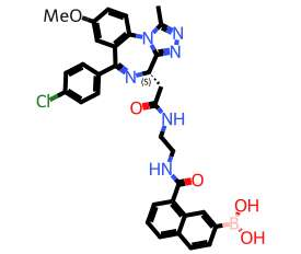 COc1ccc2c(c1)C(c1ccc(Cl)cc1)=N[C@@H](CC(=O)NCCNC(=O)c1cccc3ccc(B(O)O)cc13)c1nnc(C)n1-2